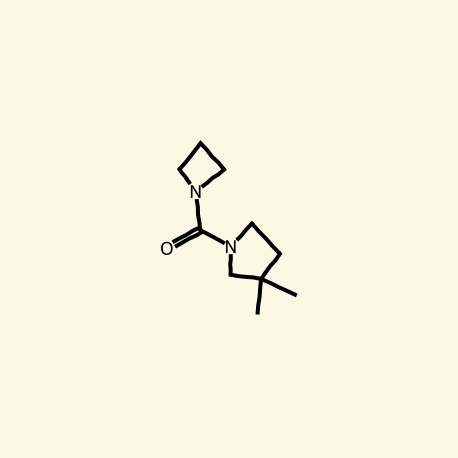 CC1(C)CCN(C(=O)N2CCC2)C1